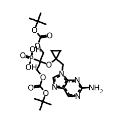 CC(C)(C)OC(=O)OCC(COC(=O)OC(C)(C)C)(OC1(Cn2cnc3cnc(N)nc32)CC1)P(=O)(O)O